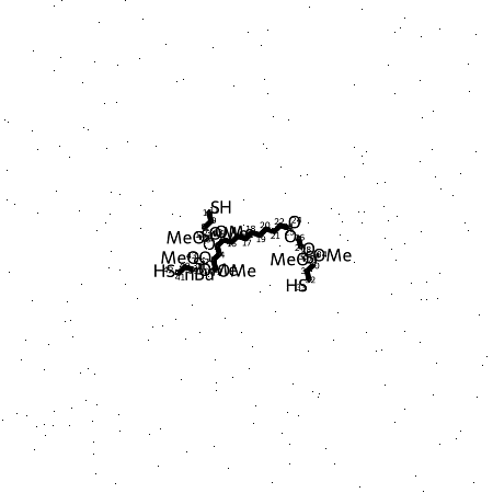 CCCCC(OC)C(CC(O[Si](CCCS)(OC)OC)C(CCCCCCCCC(=O)OCCO[Si](CCCS)(OC)OC)OC)O[Si](CCCS)(OC)OC